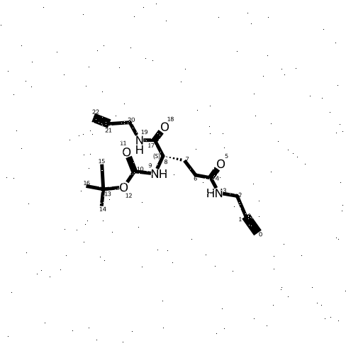 C#CCNC(=O)CC[C@H](NC(=O)OC(C)(C)C)C(=O)NCC#C